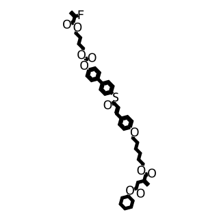 C=C(F)C(=O)OCCCCOC(=O)Oc1ccc(-c2ccc(SC(=O)/C=C/c3ccc(OCCCCCCOC(=O)C(=C)CC(=O)OC4CCCCC4)cc3)cc2)cc1